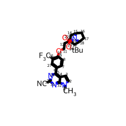 Cn1ccc2c(-c3ccc(OCCC4CC5CCC(C4)N5C(=O)OC(C)(C)C)c(C(F)(F)F)c3)nc(C#N)nc21